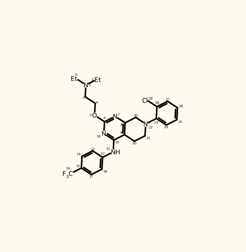 CCN(CC)CCOc1nc2c(c(Nc3ccc(C(F)(F)F)cc3)n1)CCN(c1ccccc1Cl)C2